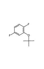 CC(C)(C)Oc1cc(F)ccc1F